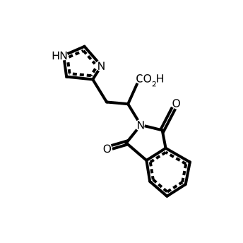 O=C(O)C(Cc1c[nH]cn1)N1C(=O)c2ccccc2C1=O